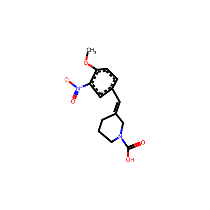 COc1ccc(C=C2CCCN(C(=O)O)C2)cc1[N+](=O)[O-]